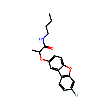 CCCCNC(=O)C(C)Oc1ccc2oc3cc(Cl)ccc3c2c1